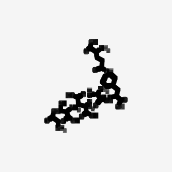 CC(N)C(=O)O.NC(CC(=O)O)C(=O)O.NC(CCC(=O)O)C(=O)O.NC(CS)C(=O)O.NC(Cc1ccccc1)C(=O)O.NCC(=O)O